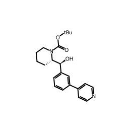 CC(C)(C)OC(=O)N1CCCC[C@H]1[C@@H](O)c1cccc(-c2ccncc2)c1